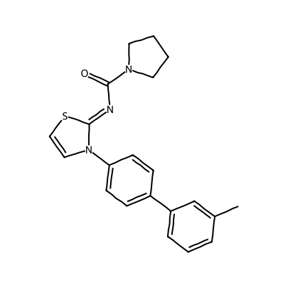 Cc1cccc(-c2ccc(-n3ccsc3=NC(=O)N3CCCC3)cc2)c1